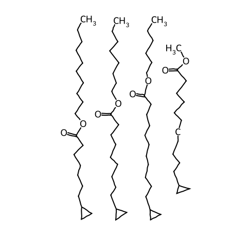 CCCCCCCCCCOC(=O)CCCCCCC1CC1.CCCCCCCCOC(=O)CCCCCCCCC1CC1.CCCCCCOC(=O)CCCCCCCCCCC1CC1.COC(=O)CCCCCCCCCCC1CC1